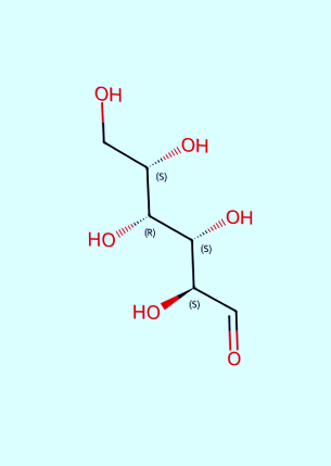 O=C[C@@H](O)[C@@H](O)[C@H](O)[C@@H](O)CO